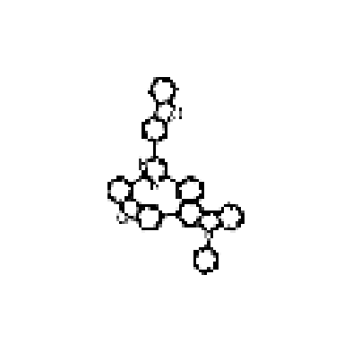 c1ccc(-c2cc(-c3ccc4c(c3)oc3ccccc34)nc(-c3cccc4oc5ccc(-c6ccc7c8ccccc8n(-c8ccccc8)c7c6)cc5c34)n2)cc1